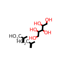 C=C(C)C(=O)O.C=C(C)C(=O)O.OCC(O)C(O)C(O)CO